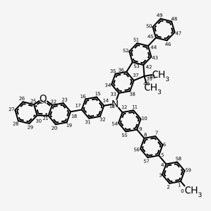 Cc1ccc(-c2ccc(-c3ccc(N(c4ccc(-c5ccc6c(c5)oc5ccccc56)cc4)c4ccc5c(c4)C(C)(C)c4cc(-c6ccccc6)ccc4-5)cc3)cc2)cc1